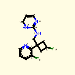 Fc1cccnc1C1(CNC2=NC=[C]CN2)CC(F)C1